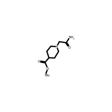 CC(C)(C)OC(=O)C1CCN(CC(N)=O)CC1